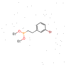 CCOP(CCc1cccc(Br)c1)OCC